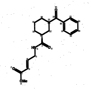 COC(=O)/C=C/CNC(=O)[C@H]1CCCN(C(=O)c2ccccc2)C1